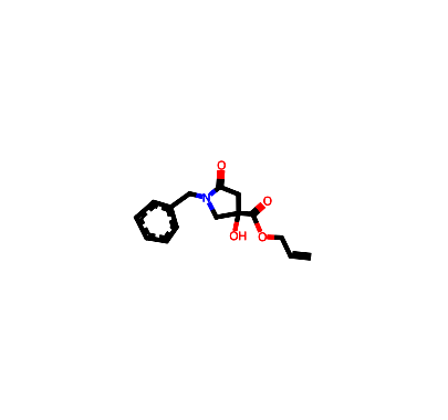 C=CCOC(=O)C1(O)CC(=O)N(Cc2ccccc2)C1